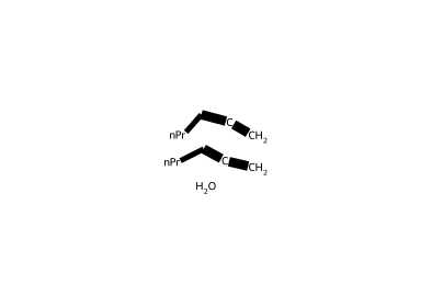 C=C=CCCC.C=C=CCCC.O